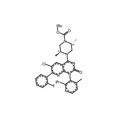 Cc1ccnc(C(C)C)c1-n1c(=O)nc(N2C[C@@H](C)N(C(=O)OC(C)(C)C)C[C@@H]2C)c2cc(Cl)c(-c3ccccc3F)nc21